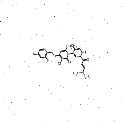 CC1=CNC(C(=O)/C=C/N(C)C)C=C1n1c(C)cc(OCc2ncc(F)cc2F)c(Cl)c1=O